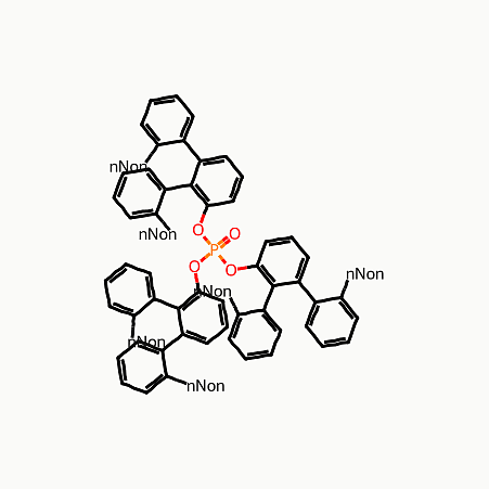 CCCCCCCCCc1ccccc1-c1cccc(OP(=O)(Oc2cccc(-c3ccccc3CCCCCCCCC)c2-c2ccccc2CCCCCCCCC)Oc2cccc(-c3ccccc3CCCCCCCCC)c2-c2ccccc2CCCCCCCCC)c1-c1ccccc1CCCCCCCCC